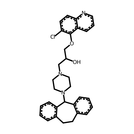 OC(COc1c(Cl)ccc2ncccc12)CN1CCN(C2c3ccccc3CCc3ccccc32)CC1